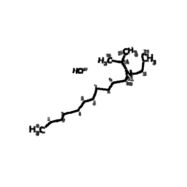 CCCCCCCCCCCN(CC)C(C)C.Cl